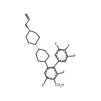 C=CC[C@H]1CC[C@H](C2CCC(c3cc(F)c(C(=O)O)c(F)c3-c3cc(F)c(F)c(F)c3)CC2)CC1